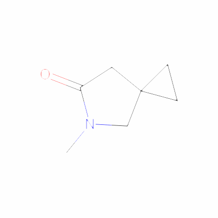 CN1CC2(CC2)CC1=O